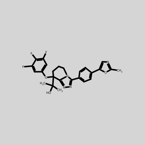 Cc1ncc(-c2ccc(-c3nnc4n3CCCC4(Oc3cc(F)c(F)c(F)c3)C(C)(C)O)cc2)o1